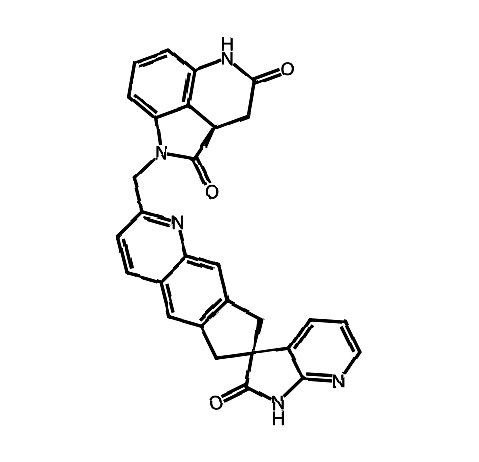 CC12CC(=O)Nc3cccc(c31)N(Cc1ccc3cc4c(cc3n1)C[C@]1(C4)C(=O)Nc3ncccc31)C2=O